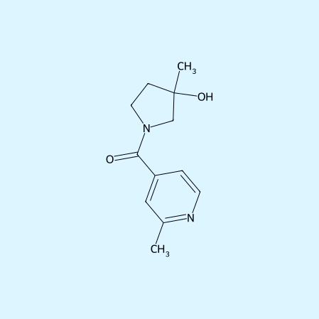 Cc1cc(C(=O)N2CCC(C)(O)C2)ccn1